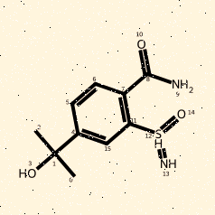 CC(C)(O)c1ccc(C(N)=O)c([SH](=N)=O)c1